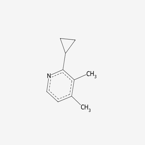 Cc1ccnc(C2CC2)c1C